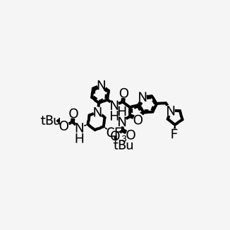 CC(C)(C)OC(=O)Nc1oc2cc(CN3CC[C@@H](F)C3)cnc2c1C(=O)Nc1cnccc1N1C[C@@H](NC(=O)OC(C)(C)C)C[C@@H](C(F)(F)F)C1